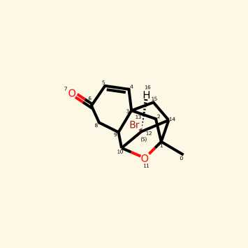 CC12CC34C=CC(=O)CC3C(O1)[C@@H](Br)C2C4